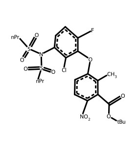 CCCS(=O)(=O)N(c1ccc(F)c(Oc2ccc([N+](=O)[O-])c(C(=O)OC(C)(C)C)c2C)c1Cl)S(=O)(=O)CCC